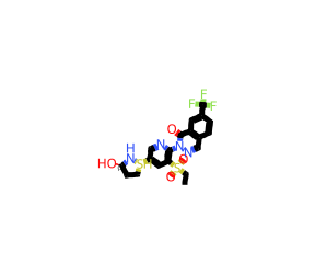 CCS(=O)(=O)c1cc([SH]2CC[C@H](O)N2)cnc1-n1ncc2ccc(C(F)(F)F)cc2c1=O